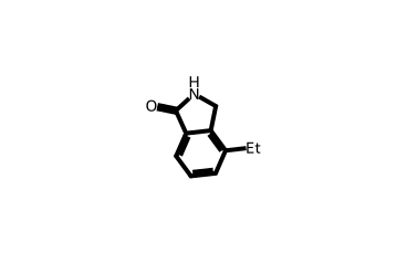 CCc1cccc2c1CNC2=O